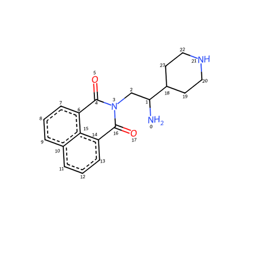 NC(CN1C(=O)c2cccc3cccc(c23)C1=O)C1CCNCC1